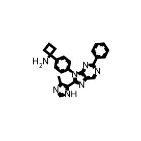 Cc1nc[nH]c1-c1nc2cnc(-c3ccccc3)nc2n1-c1ccc(C2(N)CCC2)cc1